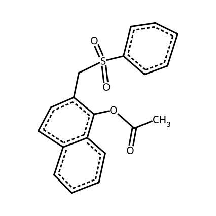 CC(=O)Oc1c(CS(=O)(=O)c2ccccc2)ccc2ccccc12